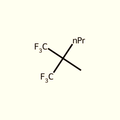 CCCC(C)(C(F)(F)F)C(F)(F)F